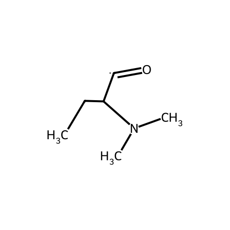 CCC([C]=O)N(C)C